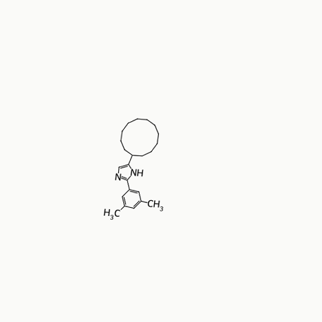 Cc1cc(C)cc(-c2ncc(C3CCCCCCCCCCC3)[nH]2)c1